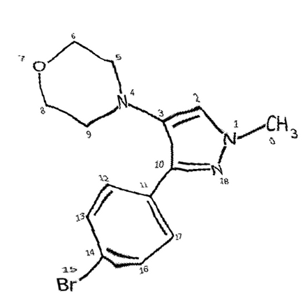 Cn1cc(N2CCOCC2)c(-c2ccc(Br)cc2)n1